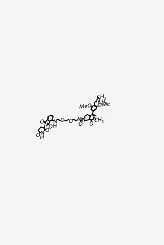 COc1cc(-c2cn(C)c(=O)c3c2CCN(C(=O)NCCOCCOCCNc2cccc4c2C(=O)N(C2CCC(=O)NC2=O)C4=O)C3)cc(OC)c1CN(C)C